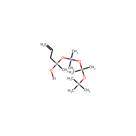 C=CC[Si](C)(OCC)O[Si](C)(C)O[Si](C)(C)O[Si](C)(C)C